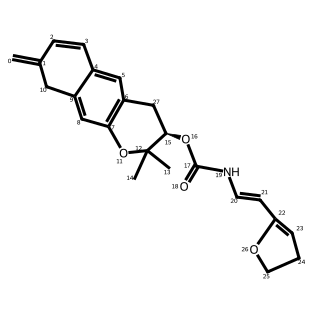 C=C1C=Cc2cc3c(cc2C1)OC(C)(C)[C@H](OC(=O)N/C=C/C1=CCCO1)C3